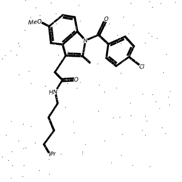 COc1ccc2c(c1)c(CC(=O)NCCCCC(C)C)c(C)n2C(=O)c1ccc(Cl)cc1